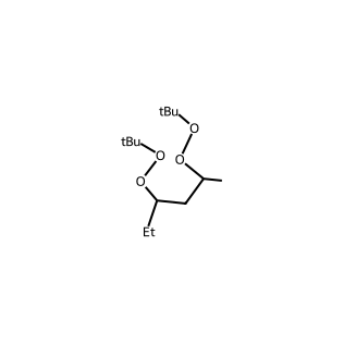 CCC(CC(C)OOC(C)(C)C)OOC(C)(C)C